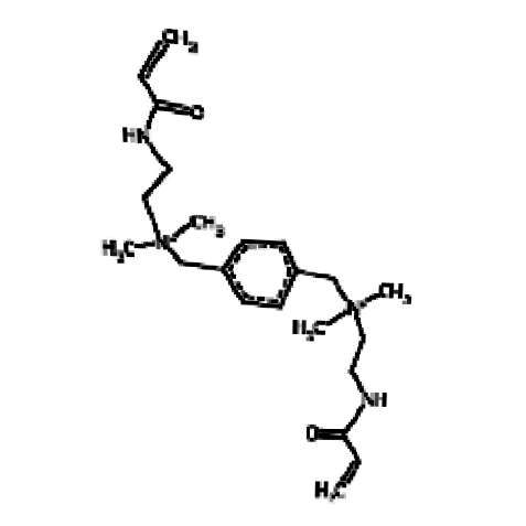 C=CC(=O)NCC[N+](C)(C)Cc1ccc(C[N+](C)(C)CCNC(=O)C=C)cc1